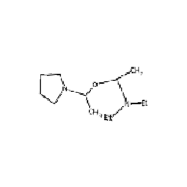 CCN(CC)C(C)OC(C)N1CCCC1